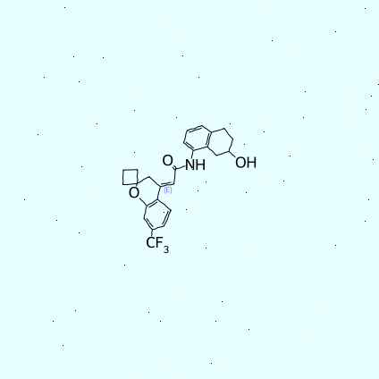 O=C(/C=C1\CC2(CCC2)Oc2cc(C(F)(F)F)ccc21)Nc1cccc2c1CC(O)CC2